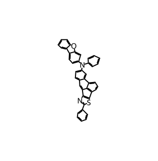 c1ccc(-c2nc3c(s2)-c2cccc4c2c-3cc2ccc(N(c3ccccc3)c3ccc5c(c3)oc3ccccc35)cc24)cc1